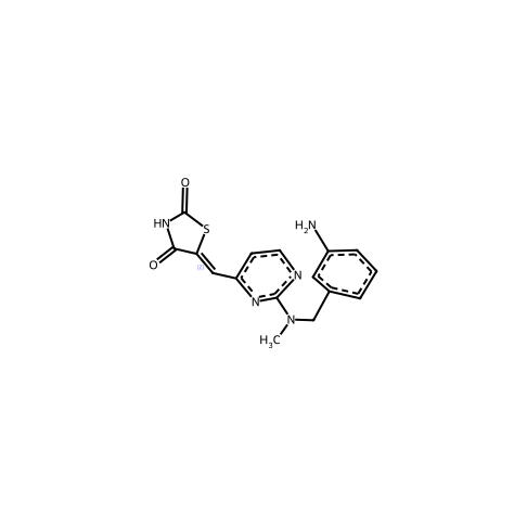 CN(Cc1cccc(N)c1)c1nccc(/C=C2\SC(=O)NC2=O)n1